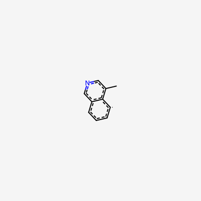 Cc1cncc2ccc[c]c12